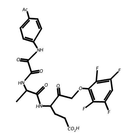 CC(=O)c1ccc(NC(=O)C(=O)NC(C)C(=O)NC(CCC(=O)O)C(=O)COc2c(F)c(F)cc(F)c2F)cc1